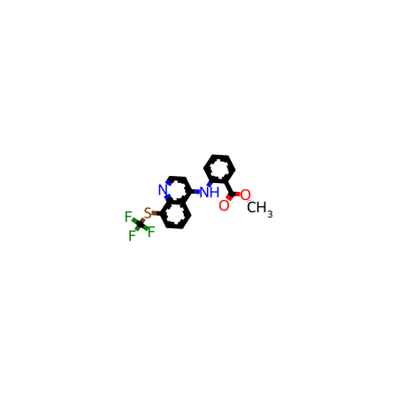 COC(=O)c1ccccc1Nc1ccnc2c(SC(F)(F)F)cccc12